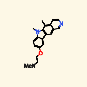 CNCCOc1ccc2c(c1)c1cc3cnccc3c(C)c1n2C